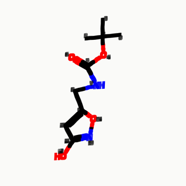 CC(C)(C)OC(=O)NCc1cc(O)no1